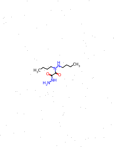 CCCCNN(CCCC)C(=O)C(=O)NN